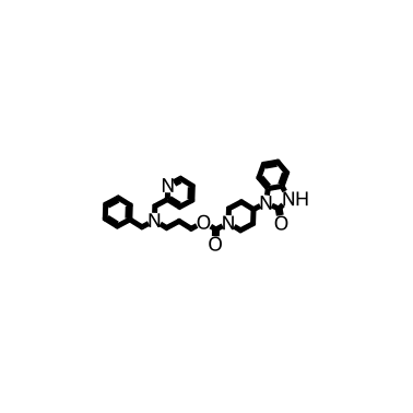 O=C(OCCCN(Cc1ccccc1)Cc1ccccn1)N1CCC(n2c(=O)[nH]c3ccccc32)CC1